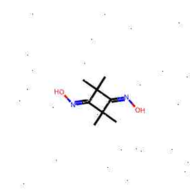 CC1(C)C(=NO)C(C)(C)C1=NO